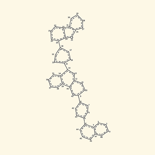 c1ccc2c(-c3ccc(-c4ccc5cc(-c6ccc(-c7cccc8c7oc7ccccc78)cc6)c6ccccc6c5c4)cc3)cccc2c1